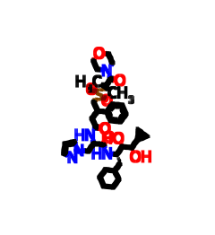 CC(C)(C(=O)N1CCOCC1)S(=O)(=O)CC(CC(=O)NC(Cn1cccn1)C(=O)N[C@@H](CC1CCCCC1)[C@@H](O)[C@@H](O)C1CC1)c1ccccc1